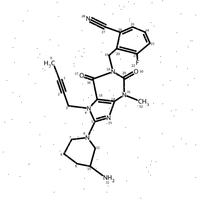 CC#CCn1c(N2CCCC(N)C2)nc2c1c(=O)n(Cc1c(F)cccc1C#N)c(=O)n2C